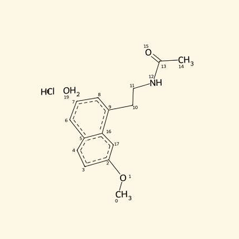 COc1ccc2cccc(CCNC(C)=O)c2c1.Cl.O